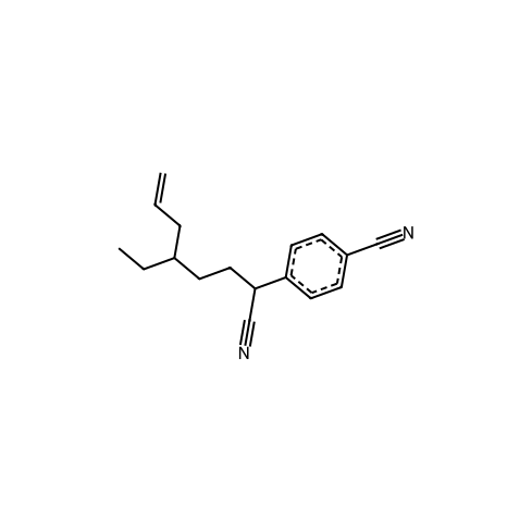 C=CCC(CC)CCC(C#N)c1ccc(C#N)cc1